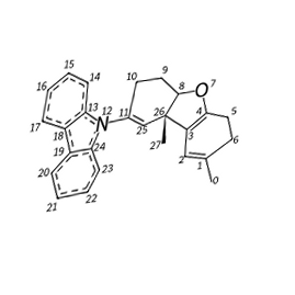 CC1=CC2=C(CC1)OC1CCC(n3c4ccccc4c4ccccc43)=C[C@@]21C